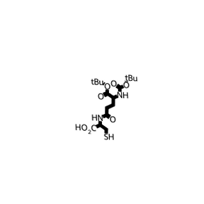 CC(C)(C)OC(=O)NC(CCC(=O)NC(CS)C(=O)O)C(=O)OC(C)(C)C